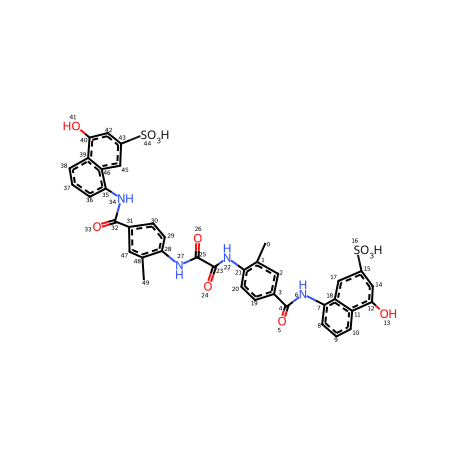 Cc1cc(C(=O)Nc2cccc3c(O)cc(S(=O)(=O)O)cc23)ccc1NC(=O)C(=O)Nc1ccc(C(=O)Nc2cccc3c(O)cc(S(=O)(=O)O)cc23)cc1C